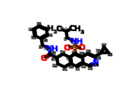 CC(C)CNS(=O)(=O)c1c2c(cc3cnc(C4CC4)cc13)CCC(C(=O)NCc1ccccc1)C2